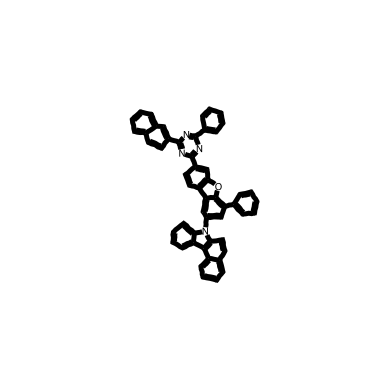 c1ccc(-c2nc(-c3ccc4ccccc4c3)nc(-c3ccc4c(c3)oc3c(-c5ccccc5)cc(-n5c6ccccc6c6c7ccccc7ccc65)cc34)n2)cc1